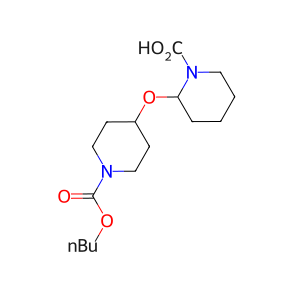 CCCCOC(=O)N1CCC(OC2CCCCN2C(=O)O)CC1